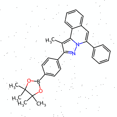 Cc1c(-c2ccc(B3OC(C)(C)C(C)(C)O3)cc2)nn2c(-c3ccccc3)cc3ccccc3c12